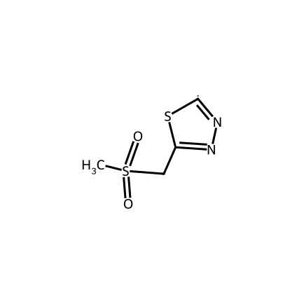 CS(=O)(=O)Cc1nn[c]s1